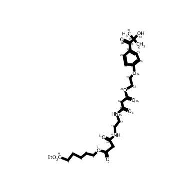 CCOC(=O)CCCCCOC(=O)CC(=O)NCCNC(=O)CC(=O)OCCOc1ccc(C(=O)C(C)(C)O)cc1